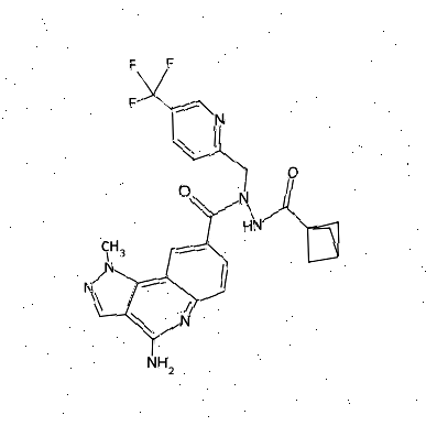 Cn1ncc2c(N)nc3ccc(C(=O)N(Cc4ccc(C(F)(F)F)cn4)NC(=O)C45CC(C4)C5)cc3c21